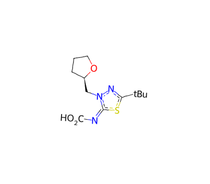 CC(C)(C)c1nn(C[C@H]2CCCO2)c(=NC(=O)O)s1